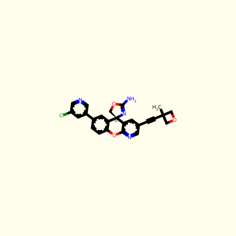 CC1(C#Cc2cnc3c(c2)[C@]2(COC(N)=N2)c2cc(-c4cncc(Cl)c4)ccc2O3)COC1